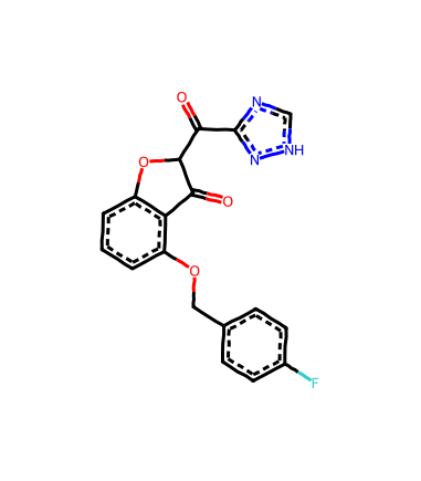 O=C(c1nc[nH]n1)C1Oc2cccc(OCc3ccc(F)cc3)c2C1=O